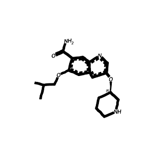 CC(C)COc1cc2cc(O[C@@H]3CCCNC3)cnc2cc1C(N)=O